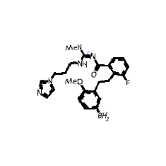 Bc1ccc(OC)c(CCc2c(F)cccc2C(=O)/N=C(/NC)NCCCn2ccnc2)c1